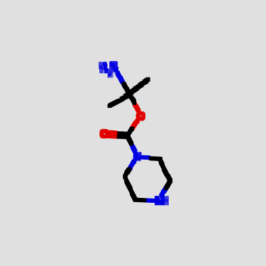 CC(C)(N)OC(=O)N1CCNCC1